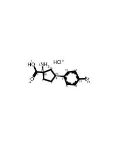 Cl.N[C@]1(C(=O)O)CC[C@H](c2ccc(Br)cc2)C1